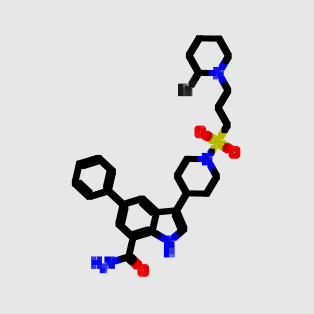 CCC1CCCCN1CCCS(=O)(=O)N1CCC(c2c[nH]c3c(C(N)=O)cc(-c4ccccc4)cc23)CC1